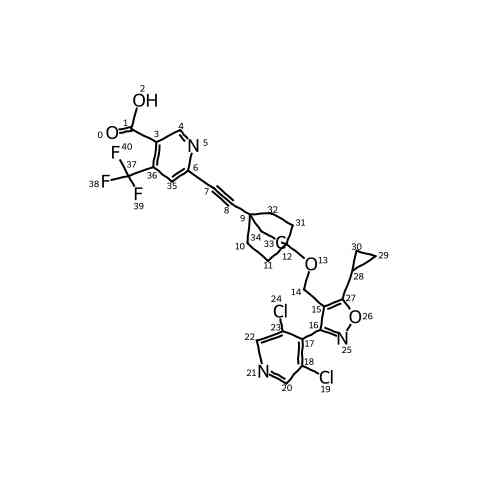 O=C(O)c1cnc(C#CC23CCC(OCc4c(-c5c(Cl)cncc5Cl)noc4C4CC4)(CC2)CC3)cc1C(F)(F)F